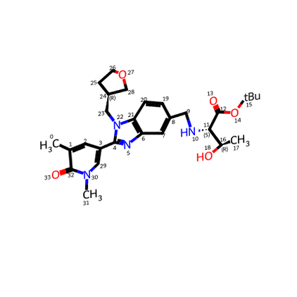 Cc1cc(-c2nc3cc(CN[C@H](C(=O)OC(C)(C)C)[C@@H](C)O)ccc3n2C[C@H]2CCOC2)cn(C)c1=O